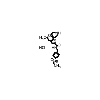 CCS(=O)(=O)c1ccc(CNC(=O)c2cc3c(s2)C2(CCNCC2)O[C@@H](C)C3)cc1.Cl